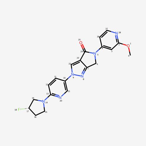 COc1cc(N2Cc3nn(-c4ccc(N5CC[C@H](F)C5)nc4)cc3C2=O)ccn1